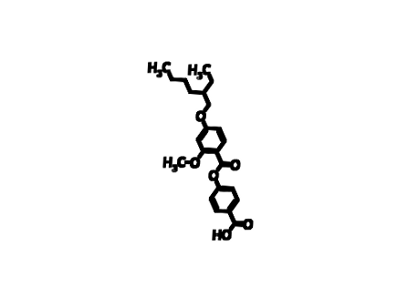 CCCCC(CC)COc1ccc(C(=O)Oc2ccc(C(=O)O)cc2)c(OC)c1